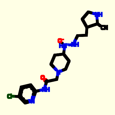 N#CC1NCCC1CCN[NH+]([O-])C1CCN(CC(=O)Nc2ccc(Cl)cn2)CC1